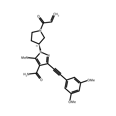 C=CC(=O)N1CC[C@H](n2nc(C#Cc3cc(OC)cc(OC)c3)c(C(N)=O)c2NC)C1